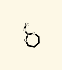 CCOP1OCCCCO1